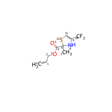 C=CCOC(=O)C1(C)NC(C(F)(F)F)=CS1